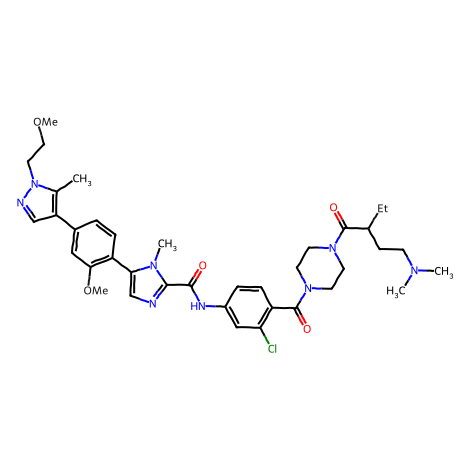 CCC(CCN(C)C)C(=O)N1CCN(C(=O)c2ccc(NC(=O)c3ncc(-c4ccc(-c5cnn(CCOC)c5C)cc4OC)n3C)cc2Cl)CC1